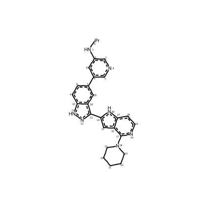 CC(C)Nc1cncc(-c2ccc3[nH]nc(-c4cc5c(N6CCCCC6)nccc5[nH]4)c3c2)c1